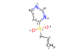 C=CCS(=O)(=O)c1ccn[c]n1